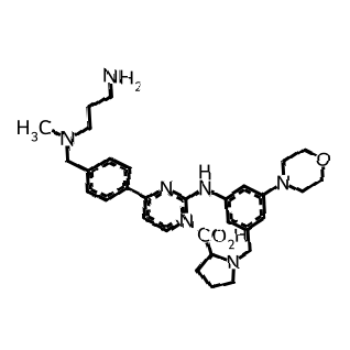 CN(CCCN)Cc1ccc(-c2ccnc(Nc3cc(CN4CCCC4C(=O)O)cc(N4CCOCC4)c3)n2)cc1